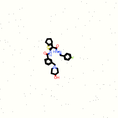 O=C(Nc1sc2c(c1C(=O)NN=Cc1ccc(F)cc1)CCCC2)c1cccc(CN2CCC(O)CC2)c1